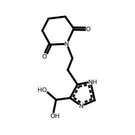 O=C1CCCC(=O)N1CCc1[nH]cnc1C(O)O